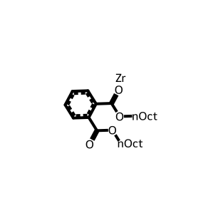 CCCCCCCCOC(=O)c1ccccc1C(=O)OCCCCCCCC.[Zr]